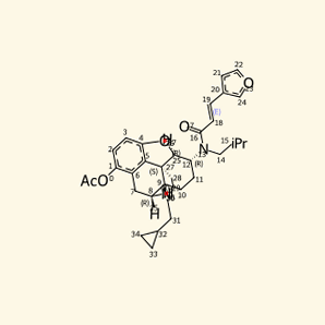 CC(=O)Oc1ccc2c3c1C[C@@H]1[C@@H]4CC[C@@H](N(CC(C)C)C(=O)/C=C/c5ccoc5)[C@H](O2)[C@]34CCN1CC1CC1